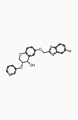 O[C@@H]1c2cc(OCc3nc4cc(F)ccc4s3)ccc2OC[C@@H]1Oc1cccnc1